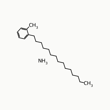 CCCCCCCCCCCCCCCc1ccccc1C.N